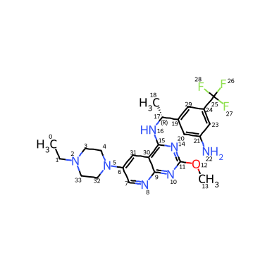 CCN1CCN(c2cnc3nc(OC)nc(N[C@H](C)c4cc(N)cc(C(F)(F)F)c4)c3c2)CC1